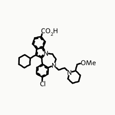 COCC1CCCCN1CCN1CCn2c(c(C3CCCCC3)c3ccc(C(=O)O)cc32)-c2ccc(Cl)cc21